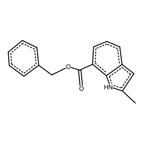 Cc1cc2cccc(C(=O)OCc3ccccc3)c2[nH]1